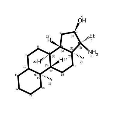 CC[C@@]1(N)[C@H](O)C[C@H]2[C@@H]3CCC4CCCC[C@]4(C)[C@H]3CC[C@@]21C